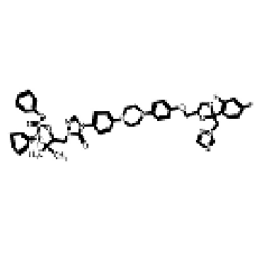 CC(C)(C)C(Cn1ncn(-c2ccc(N3CCN(c4ccc(OCC5COC(Cn6cncn6)(c6ccc(F)cc6F)O5)cc4)CC3)cc2)c1=O)OP(=O)(Oc1ccccc1)Oc1ccccc1